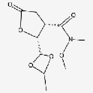 CON(C)C(=O)[C@H]1CC(=O)O[C@H]1C1OC(C)O1